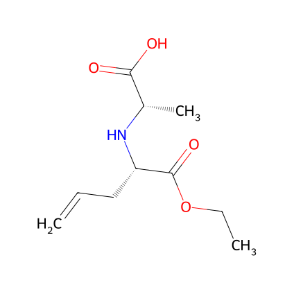 C=CC[C@H](N[C@@H](C)C(=O)O)C(=O)OCC